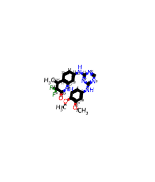 COc1ccc(Nc2ncnc(Nc3ccc4c(c3)NC(=O)C(F)(F)C4C)n2)cc1OC